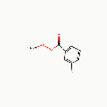 [CH2]CCCCCOOC(=O)c1cccc(C)c1